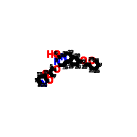 OC1N=C(OCC2COc3ncccc3O2)C=C2c3ccc(OCC4CCCCO4)cc3CCN21